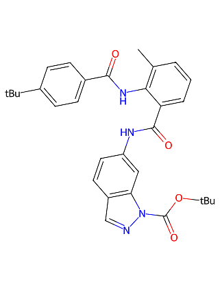 Cc1cccc(C(=O)Nc2ccc3cnn(C(=O)OC(C)(C)C)c3c2)c1NC(=O)c1ccc(C(C)(C)C)cc1